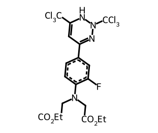 CCOC(=O)CN(CC(=O)OCC)c1ccc(C2=NN(C(Cl)(Cl)Cl)NC(C(Cl)(Cl)Cl)=C2)cc1F